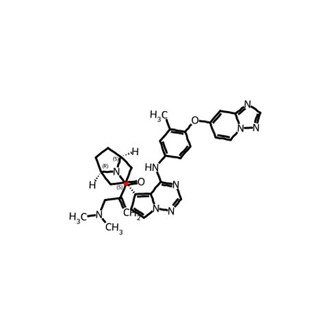 C=C(CN(C)C)C(=O)N1[C@@H]2CC[C@H]1C[C@H](c1ccn3ncnc(Nc4ccc(Oc5ccn6ncnc6c5)c(C)c4)c13)C2